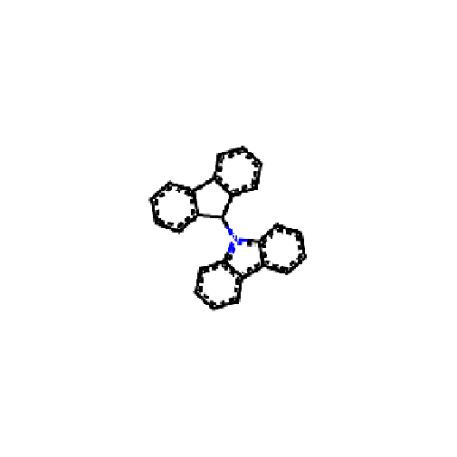 [c]1cccc2c3ccccc3n(C3c4ccccc4-c4ccccc43)c12